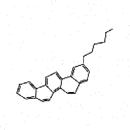 CCCCCCc1ccc2ccc3c(ccc4c5ccccc5ccc43)c2c1